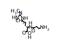 C/N=C(\NC)NCCC[C@H](NC(=O)CCN)C(=O)O